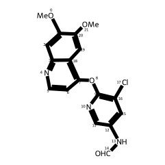 COc1cc2nccc(Oc3ncc(NC=O)cc3Cl)c2cc1OC